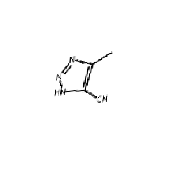 Cc1nn[nH]c1C#N